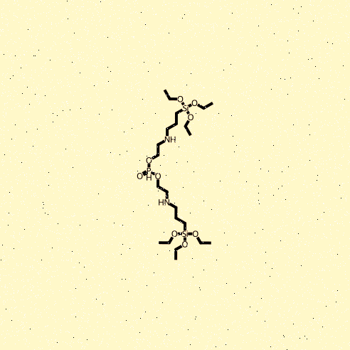 CCO[Si](CCCNCCO[PH](=O)OCCNCCC[Si](OCC)(OCC)OCC)(OCC)OCC